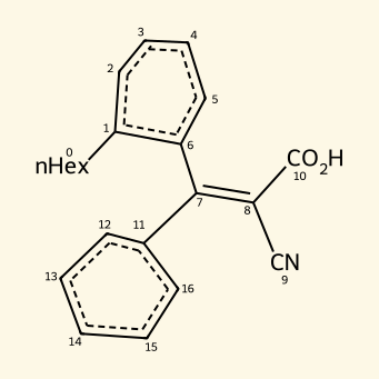 CCCCCCc1ccccc1C(=C(C#N)C(=O)O)c1ccccc1